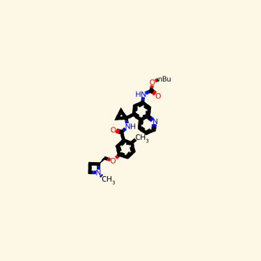 CCCCOC(=O)Nc1cc(C2(NC(=O)c3cc(OC[C@@H]4CCN4C)ccc3C)CC2)c2cccnc2c1